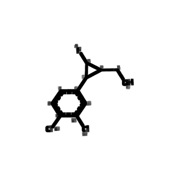 OCC1C(F)C1c1ccc(Cl)c(Cl)c1